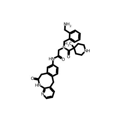 CC1(C(=O)N(CC(=O)Nc2ccc3c(c2)CC(=O)Nc2ncccc2C3)Cc2ccccc2CN)CCNCC1